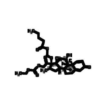 CCCCC(=O)OC(=O)O[C@]1(C(=O)COC(=O)OCC)[C@H](C)C[C@H]2[C@@H]3CCC4=CC(=O)C=C[C@]4(C)[C@@]3(F)[C@@H](O)C[C@@]21C